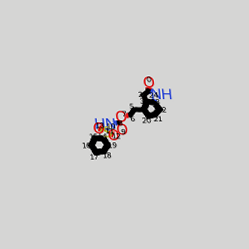 O=C1Cc2c(CCOC(=O)NS(=O)(=O)c3ccccc3)cccc2N1